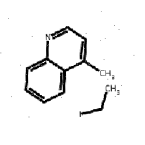 CCI.Cc1ccnc2ccccc12